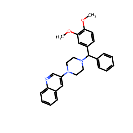 COc1ccc(C(c2ccccc2)N2CCN(c3cnc4ccccc4c3)CC2)cc1OC